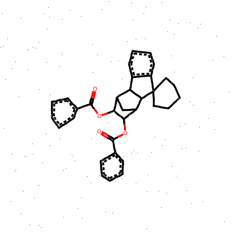 O=C(OC1C2CC(C1OC(=O)c1ccccc1)C1C2c2ccccc2C12CCCCC2)c1ccccc1